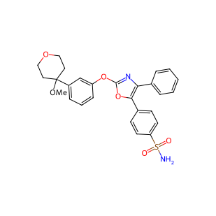 COC1(c2cccc(Oc3nc(-c4ccccc4)c(-c4ccc(S(N)(=O)=O)cc4)o3)c2)CCOCC1